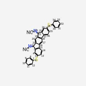 N#C/N=c1\c2cc(Sc3ccccc3)ccc2c2cc3c(cc12)/c(=N\C#N)c1cc(Sc2ccccc2)ccc13